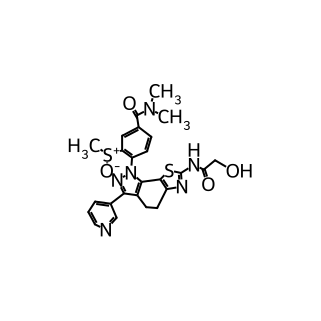 CN(C)C(=O)c1ccc(-n2nc(-c3cccnc3)c3c2-c2sc(NC(=O)CO)nc2CC3)c([S+](C)[O-])c1